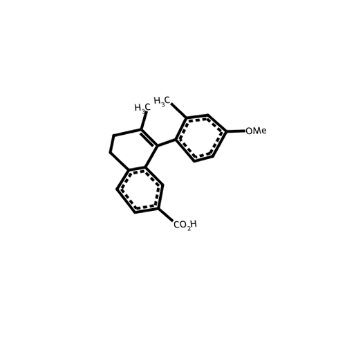 COc1ccc(C2=C(C)CCc3ccc(C(=O)O)cc32)c(C)c1